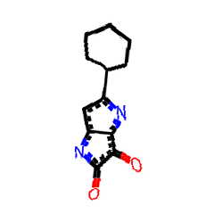 O=c1nc2cc(C3CCCCC3)nc-2c1=O